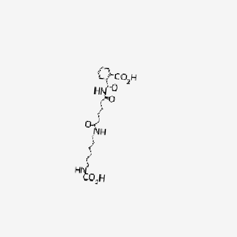 O=C(O)NCCCCCCNC(=O)CCCCC(=O)NC(=O)c1ccccc1C(=O)O